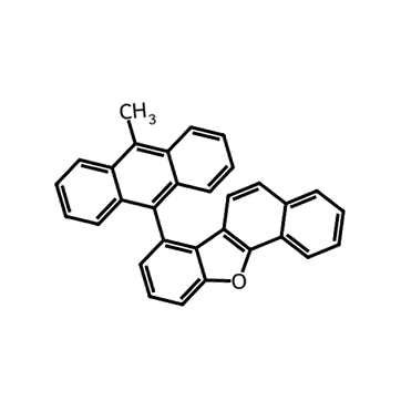 Cc1c2ccccc2c(-c2cccc3oc4c5ccccc5ccc4c23)c2ccccc12